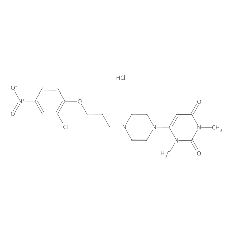 Cl.Cn1c(N2CCN(CCCOc3ccc([N+](=O)[O-])cc3Cl)CC2)cc(=O)n(C)c1=O